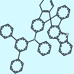 C1=CC2=C(CC1)c1ccc(N(c3ccccc3)c3cc(-c4ccccc4)cc(-c4ccccc4)c3)cc1C21c2ccccc2-c2c1ccc1c2oc2ccccc21